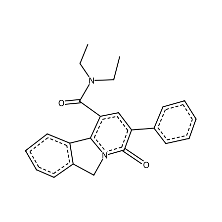 CCN(CC)C(=O)c1cc(-c2ccccc2)c(=O)n2c1-c1ccccc1C2